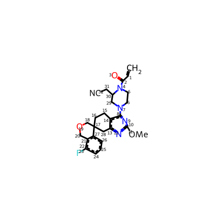 C=CC(=O)N1CCN(c2nc(OC)nc3c2CCC2(COCc4c(F)cccc42)C3)CC1CC#N